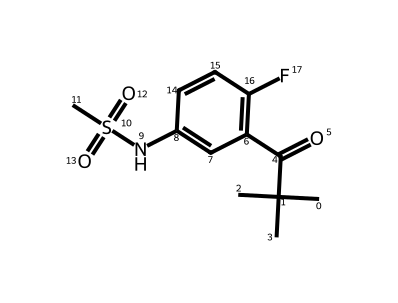 CC(C)(C)C(=O)c1cc(NS(C)(=O)=O)ccc1F